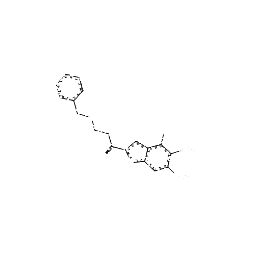 COc1cc2sc(C(=O)CCSCc3ccccc3)cc2c(F)c1OC